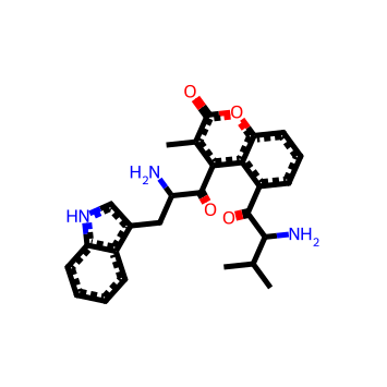 Cc1c(C(=O)C(N)Cc2c[nH]c3ccccc23)c2c(C(=O)C(N)C(C)C)cccc2oc1=O